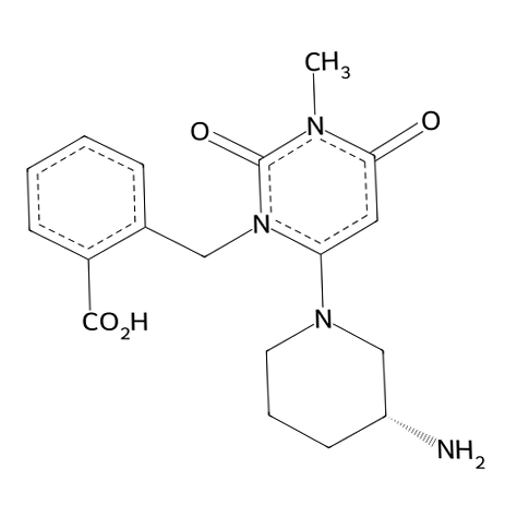 Cn1c(=O)cc(N2CCC[C@@H](N)C2)n(Cc2ccccc2C(=O)O)c1=O